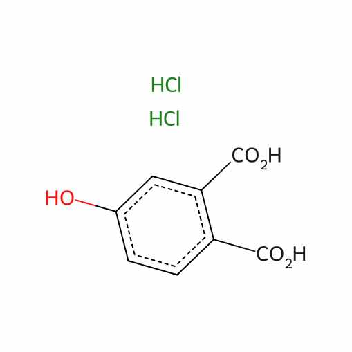 Cl.Cl.O=C(O)c1ccc(O)cc1C(=O)O